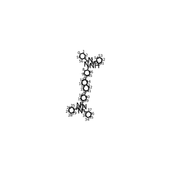 c1ccc(C2=NC(c3ccc(-c4ccc5cc(-c6ccc(-c7nc(-c8ccccc8)nc(-c8ccccc8)n7)cc6)ccc5c4)cc3)NC(c3ccccc3)=N2)cc1